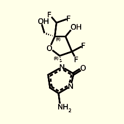 Nc1ccn([C@@H]2O[C@@](CO)(C(F)F)C(O)C2(F)F)c(=O)n1